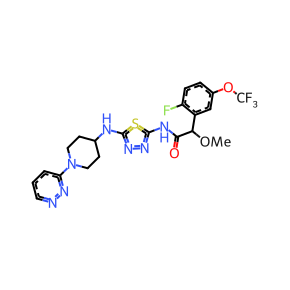 COC(C(=O)Nc1nnc(NC2CCN(c3cccnn3)CC2)s1)c1cc(OC(F)(F)F)ccc1F